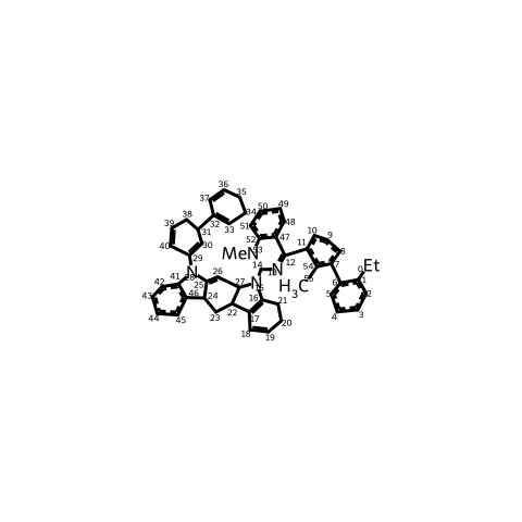 CCc1ccccc1-c1cccc(/C(=N/CN2C3=C(C=CCC3)C3CC4C(=CC32)N(C2=CC(C3=CCCC=C3)CC=C2)c2ccccc24)c2ccccc2NC)c1C